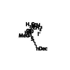 CCCCCCCCCCCCCCCCSCC(CNS(=O)(=O)CCC[N+](C)(C)C)COC.[I-]